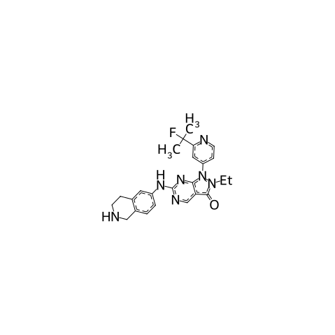 CCn1c(=O)c2cnc(Nc3ccc4c(c3)CCNC4)nc2n1-c1ccnc(C(C)(C)F)c1